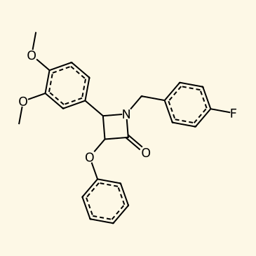 COc1ccc(C2C(Oc3ccccc3)C(=O)N2Cc2ccc(F)cc2)cc1OC